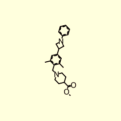 COC(=O)C1CCN(Cc2c(C)cc(C3CN(c4ccccc4)C3)cc2C)CC1